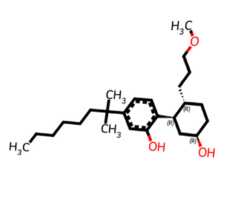 CCCCCCC(C)(C)c1ccc([C@@H]2C[C@H](O)CC[C@H]2CCCOC)c(O)c1